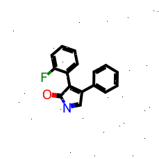 O=C1N=CC(c2ccccc2)=C1c1ccccc1F